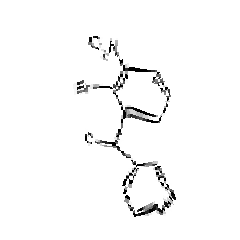 O=C(c1ccccc1)c1cccc([N+](=O)[O-])c1Br